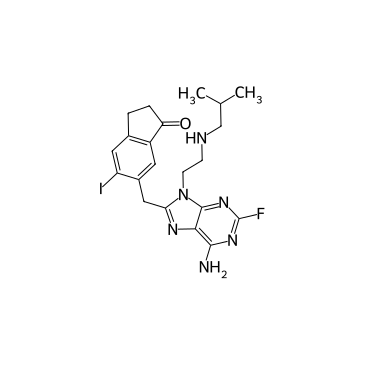 CC(C)CNCCn1c(Cc2cc3c(cc2I)CCC3=O)nc2c(N)nc(F)nc21